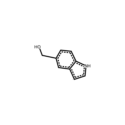 OCc1ccc2[nH]c[c]c2c1